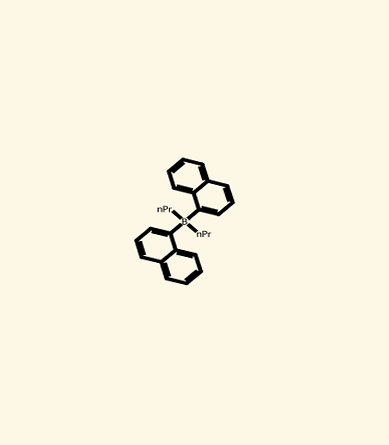 CCC[B-](CCC)(c1cccc2ccccc12)c1cccc2ccccc12